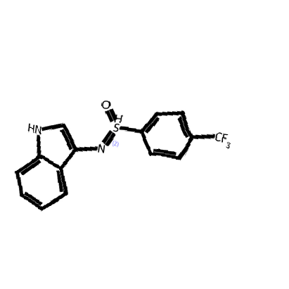 O=[SH](=N\c1c[nH]c2ccccc12)/c1ccc(C(F)(F)F)cc1